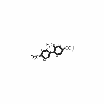 O=C(O)c1ccc(-c2ccc(C(=O)O)cc2C(F)(F)F)cc1